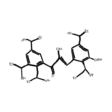 CCCC(CC)c1cc(C=C(O)C(=O)c2cc(C(CC)CCC)cc(C(CC)CCC)c2C(CC)CCC)c(C(CC)CCC)c(OC)c1